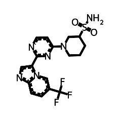 NS(=O)(=O)C1CCCN(c2ccnc(-c3cnc4ccc(C(F)(F)F)cn34)n2)C1